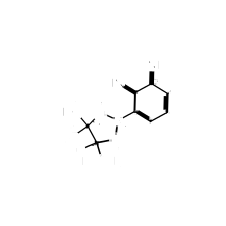 CC1(C)OB(C2=CC=CC(=N)C2=N)OC1(C)C